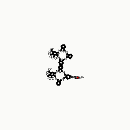 O=C([O-])c1cc2c3nc4nc(nc5[n-]c(nc6nc(nc([n-]3)c2c(C(=O)[O-])c1C(=O)[O-])-c1ccccc1-6)c1ccccc51)-c1ccccc1-4.O=C([O-])c1cc2c3nc4nc(nc5[n-]c(nc6nc(nc([n-]3)c2c(C(=O)[O-])c1C(=O)[O-])-c1ccccc1-6)c1ccccc51)-c1ccccc1-4.[Cu+2].[Cu+2].[Cu+2].[Na+].[Na+].[Na+].[Na+]